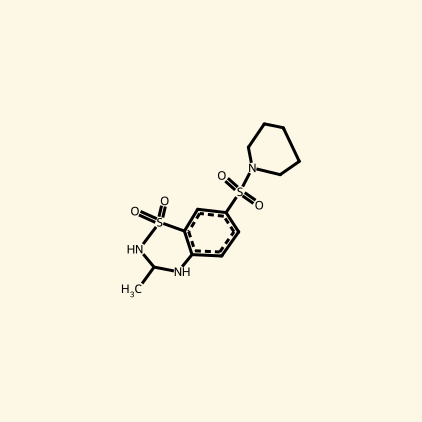 CC1Nc2ccc(S(=O)(=O)N3CCCCC3)cc2S(=O)(=O)N1